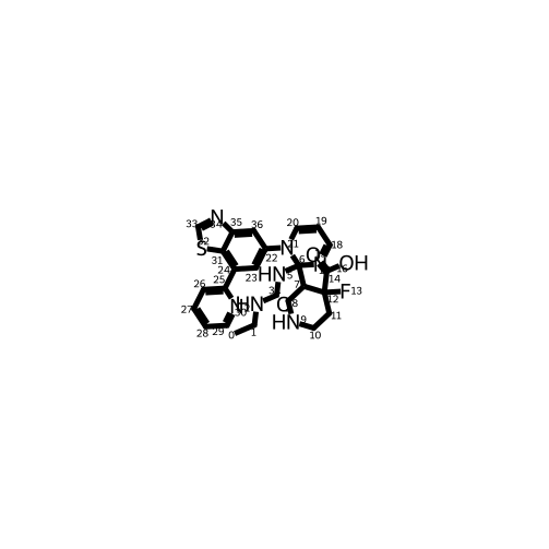 CCNC(=O)NC1(C2CNCCC2(F)C(=O)O)N=CC=CN1c1cc(-c2ccccn2)c2scnc2c1